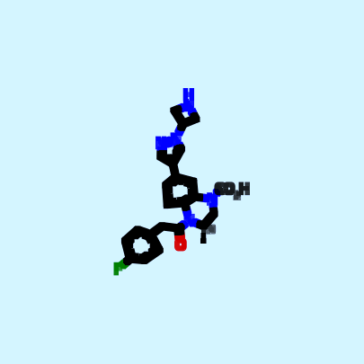 C[C@H]1CN(C(=O)O)c2cc(-c3cnn(C4CNC4)c3)ccc2N1C(=O)Cc1ccc(F)cc1